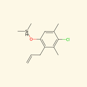 C=CCc1c(O[SiH](C)C)cc(C)c(Cl)c1C